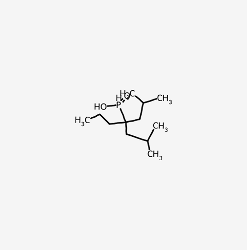 CCCC(CC(C)C)(CC(C)C)[PH](=O)O